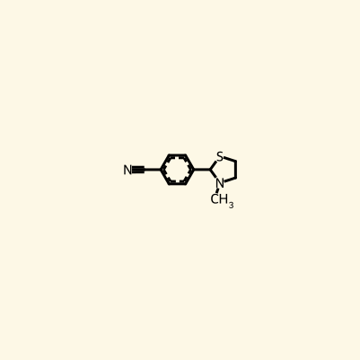 CN1CCSC1c1ccc(C#N)cc1